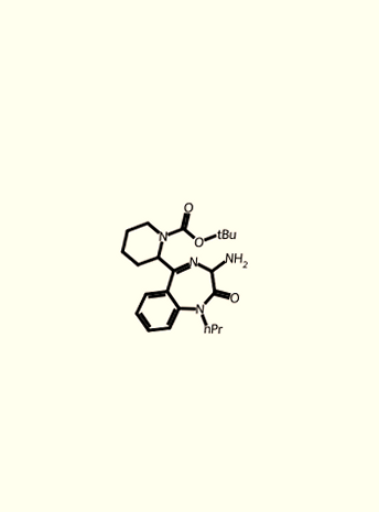 CCCN1C(=O)C(N)N=C(C2CCCCN2C(=O)OC(C)(C)C)c2ccccc21